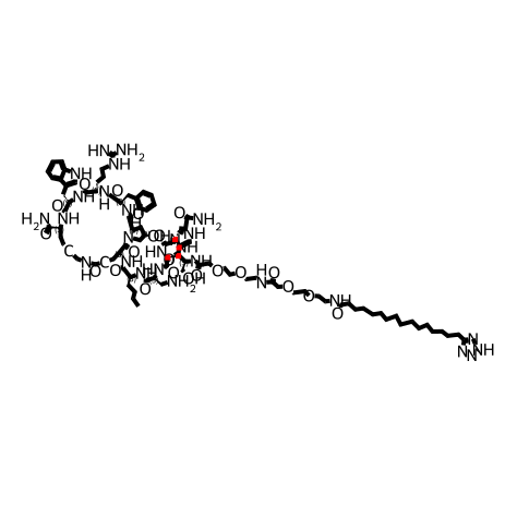 CCCC[C@H](NC(=O)[C@H](CN)NC(=O)[C@H](Cc1c[nH]cn1)NC(=O)[C@H](CCC(N)=O)NC(=O)[C@H](CO)NC(=O)COCCOCCNC(=O)COCCOCCNC(=O)CCCCCCCCCCCCCCCc1nn[nH]n1)C(=O)N[C@H]1CCC(=O)NCCCC[C@@H](C(N)=O)NC(=O)[C@H](Cc2c[nH]c3ccccc23)NC(=O)[C@H](CCCNC(=N)N)NC(=O)[C@@H](Cc2ccccc2)NC(=O)[C@@H]2C[C@@H](O)CN2C1=O